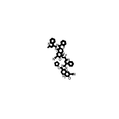 Cc1cc(-c2nc(-c3ccccc3F)c3c(n2)[C@]2(C)C=C(C#N)C(=O)C(C)(CC(F)c4cc(-c5nc(OC6CCCC6)c6c(n5)[C@]5(C)C=C(C#N)C(=O)[C@H](C)[C@H]5CC6)c5ccccc5n4)[C@H]2CC3)c2ccccc2n1